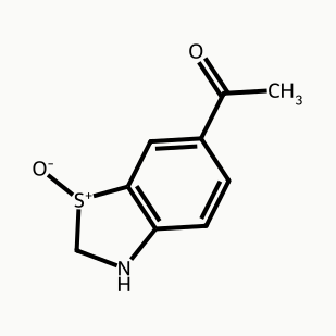 CC(=O)c1ccc2c(c1)[S+]([O-])CN2